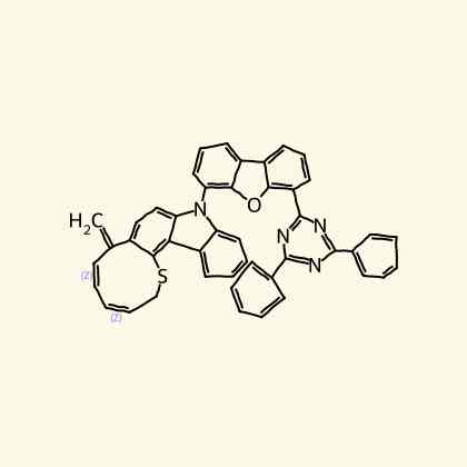 C=C1/C=C\C=C/CSc2c1ccc1c2c2ccccc2n1-c1cccc2c1oc1c(-c3nc(-c4ccccc4)nc(-c4ccccc4)n3)cccc12